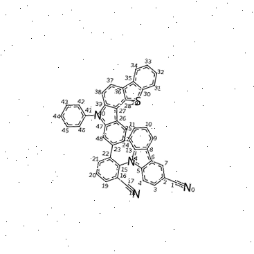 N#Cc1ccc2c(c1)c1ccccc1n2-c1c(C#N)cccc1-c1ccc2c3c4sc5ccccc5c4ccc3n(-c3ccccc3)c2c1